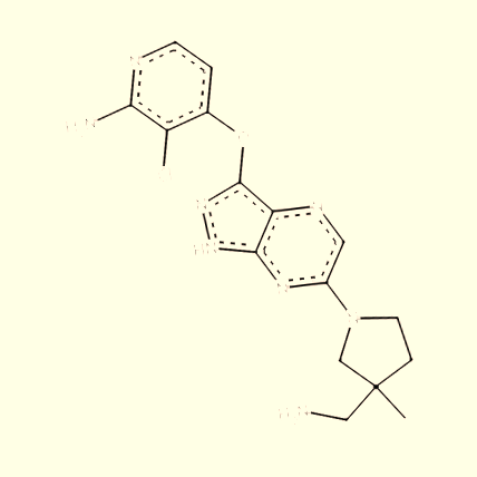 CC1(CN)CCN(c2cnc3c(Oc4ccnc(N)c4Cl)n[nH]c3n2)C1